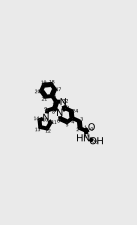 O=C(C=Cc1ccn2c(CN3CCCC3)c(-c3ccccc3)nc2c1)NO